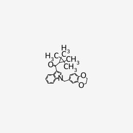 CC1(C)C(C(=O)c2cn(Cc3ccc4c(c3)OCCO4)c3ccccc23)C1(C)C